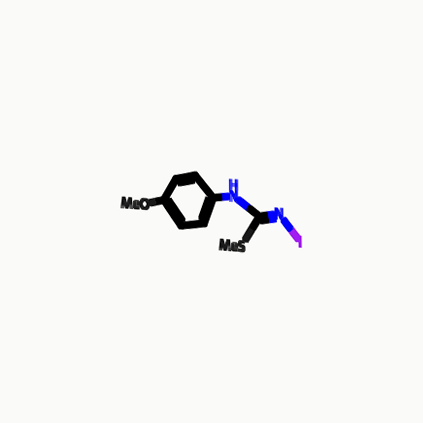 COc1ccc(N/C(=N/I)SC)cc1